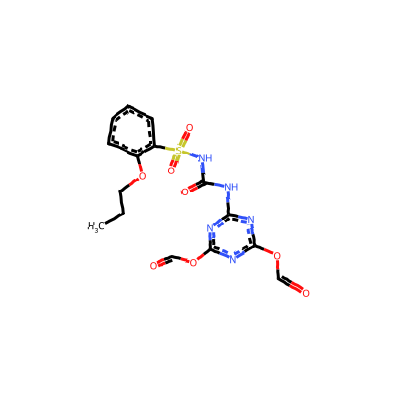 CCCOc1ccccc1S(=O)(=O)NC(=O)Nc1nc(OC=O)nc(OC=O)n1